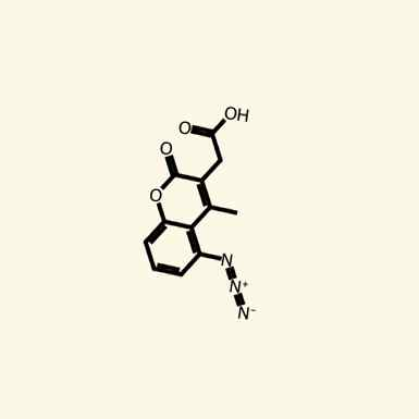 Cc1c(CC(=O)O)c(=O)oc2cccc(N=[N+]=[N-])c12